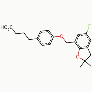 CC1(C)Cc2cc(F)cc(COc3ccc(CCCC(=O)O)cc3)c2O1